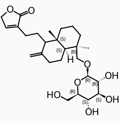 C=C1CC[C@@H]2[C@](C)(CO[C@@H]3O[C@H](CO)[C@@H](O)[C@H](O)[C@H]3O)CCC[C@@]2(C)C1CCC1=CCOC1=O